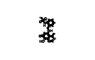 Cc1ncnc2c1c(NCc1ccccc1NS(C)(=O)=O)cc(=O)n2O